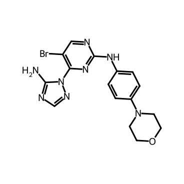 Nc1ncnn1-c1nc(Nc2ccc(N3CCOCC3)cc2)ncc1Br